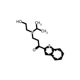 CC(C)N(CCO)CCC(=O)c1cc2ccccc2s1